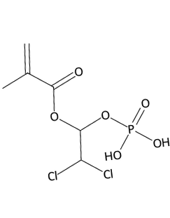 C=C(C)C(=O)OC(OP(=O)(O)O)C(Cl)Cl